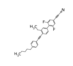 CCCCCc1ccc(C#Cc2ccc(-c3c(F)cc(C#CC#N)cc3F)cc2CC)cc1